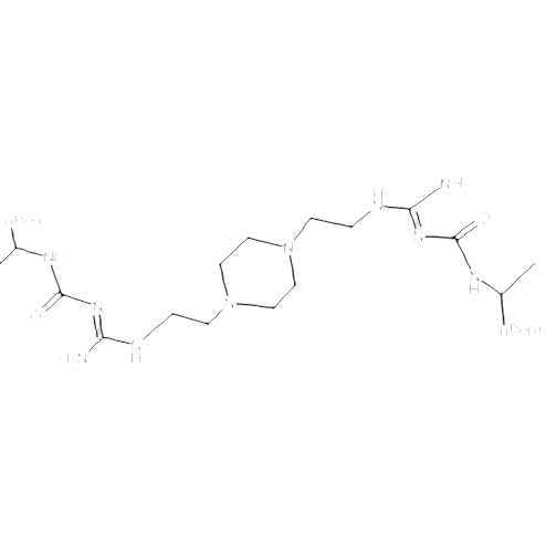 CCCCCC(C)NC(=O)N=C(N)NCCN1CCN(CCNC(N)=NC(=O)NC(C)CCCCC)CC1